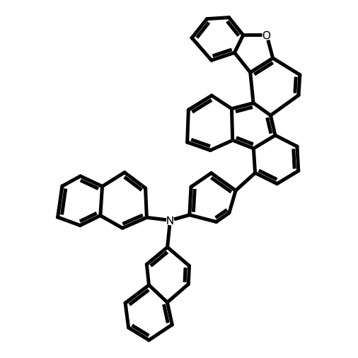 c1ccc2cc(N(c3ccc(-c4cccc5c6ccc7oc8ccccc8c7c6c6ccccc6c45)cc3)c3ccc4ccccc4c3)ccc2c1